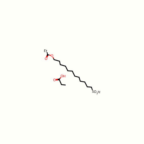 CCC(=O)O.CCC(=O)OCCCCCCCCCCCCS(=O)(=O)O